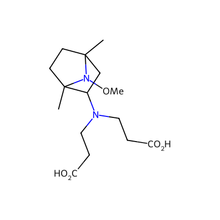 CON1C2(C)CCC1(C)C(N(CCC(=O)O)CCC(=O)O)C2